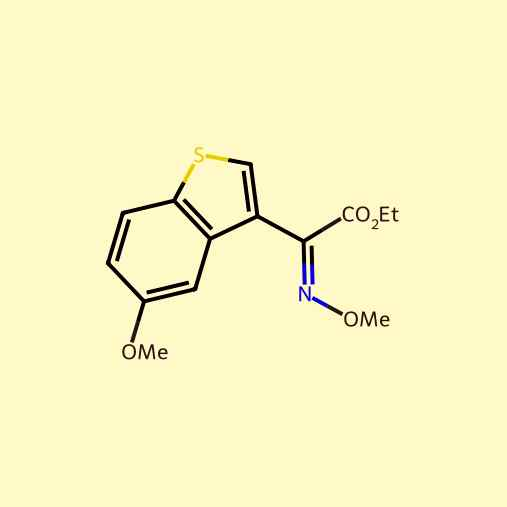 CCOC(=O)C(=NOC)c1csc2ccc(OC)cc12